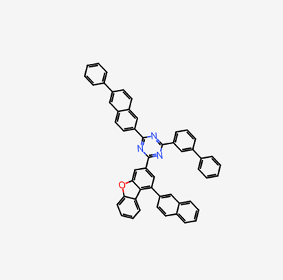 c1ccc(-c2cccc(-c3nc(-c4ccc5cc(-c6ccccc6)ccc5c4)nc(-c4cc(-c5ccc6ccccc6c5)c5c(c4)oc4ccccc45)n3)c2)cc1